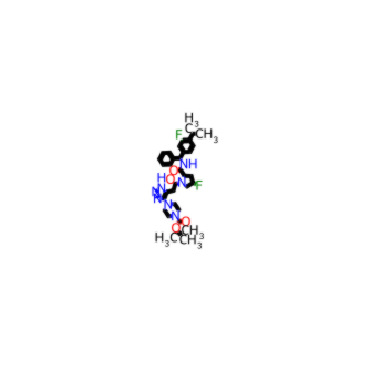 CC(C)c1ccc(C(NC(=O)C2CC(F)CN2C(=O)Cc2[nH]nnc2N2CCN(C(=O)OC(C)(C)C)CC2)c2ccccc2)cc1F